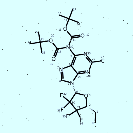 CC[C@H]1O[C@@H](n2cnc3c(N(C(=O)OC(C)(C)C)C(=O)OC(C)(C)C)nc(Cl)nc32)C(F)(F)C1(F)F